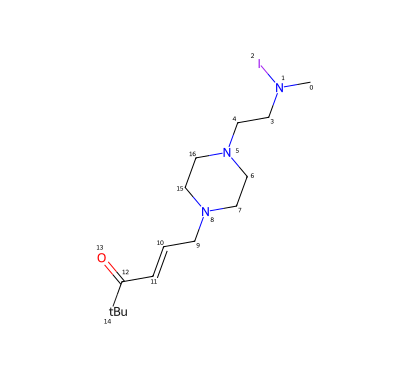 CN(I)CCN1CCN(C/C=C/C(=O)C(C)(C)C)CC1